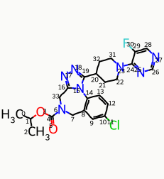 CC(C)OC(=O)N1Cc2cc(Cl)ccc2-n2c(nnc2C2CCN(c3ncncc3F)CC2)C1